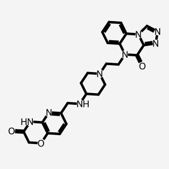 O=C1COc2ccc(CNC3CCN(CCn4c(=O)c5nncn5c5ccccc54)CC3)nc2N1